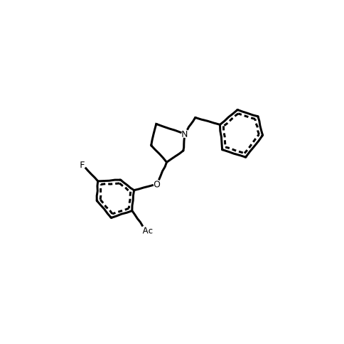 CC(=O)c1ccc(F)cc1OC1CCN(Cc2ccccc2)C1